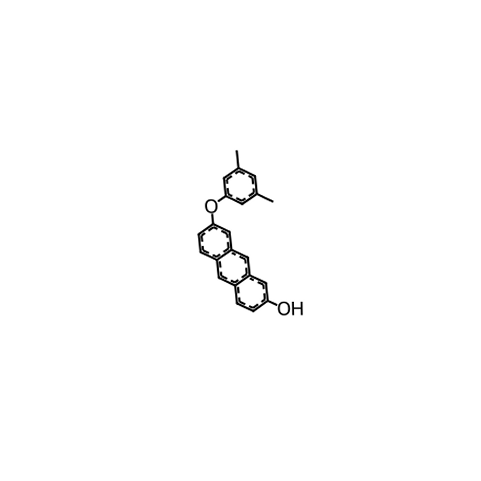 Cc1cc(C)cc(Oc2ccc3cc4ccc(O)cc4cc3c2)c1